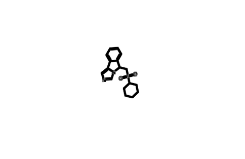 O=S(=O)(CC1c2ccccc2-c2cncn21)C1CCCCC1